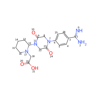 N=C(N)c1ccc(N2CC(=O)N(C3CCCCN3CC(=O)O)CC2=O)cc1